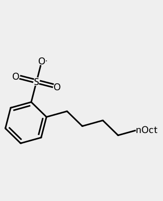 CCCCCCCCCCCCc1ccccc1S([O])(=O)=O